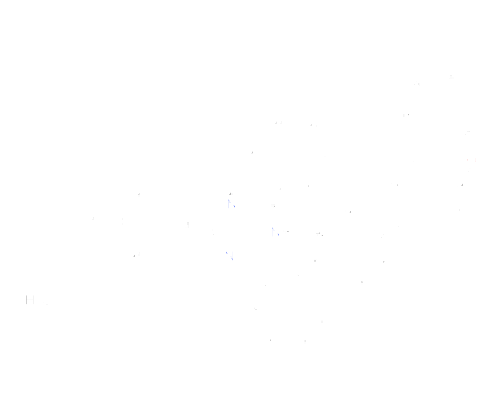 C/C=C\C=C/c1ccc(-c2nc(C3=CCCc4oc5cc(-c6ccc7oc8ccccc8c7c6)ccc5c43)nc(-c3ccccc3)n2)cc1